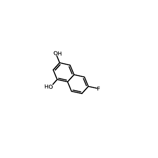 Oc1cc(O)c2ccc(F)cc2c1